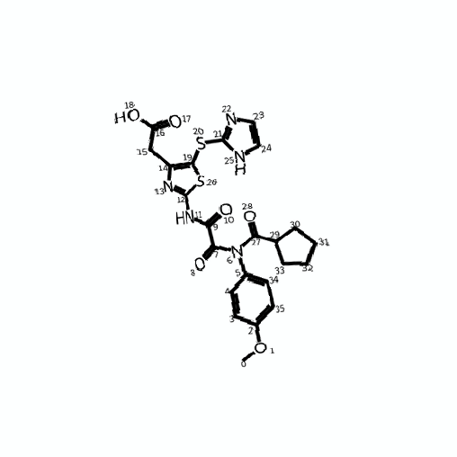 COc1ccc(N(C(=O)C(=O)Nc2nc(CC(=O)O)c(Sc3ncc[nH]3)s2)C(=O)C2CCCC2)cc1